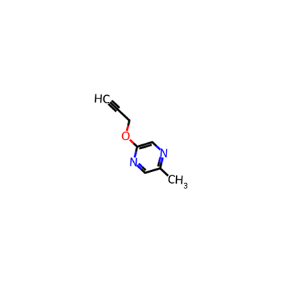 C#CCOc1cnc(C)cn1